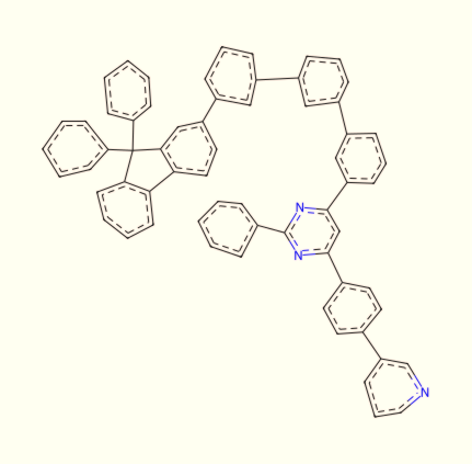 c1ccc(-c2nc(-c3ccc(-c4cccnc4)cc3)cc(-c3cccc(-c4cccc(-c5cccc(-c6ccc7c(c6)C(c6ccccc6)(c6ccccc6)c6ccccc6-7)c5)c4)c3)n2)cc1